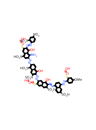 COc1ccc(N=Nc2ccc(N=Nc3c(S(=O)(=O)O)cc4cc(SOOO)c(N=Nc5c(S(=O)(=O)O)cc6c(S(=O)(=O)O)c(N=Nc7cc(S(=O)(=O)O)c8cc(SOOO)c(N=Nc9ccc([N+](=O)[O-])cc9S(=O)(=O)O)c(O)c8c7N)ccc6c5O)cc4c3O)c3ccc(S(=O)(=O)O)cc23)c(SOOO)c1